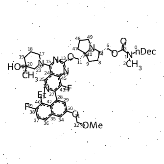 CCCCCCCCCCN(C)C(=O)OC[C@@H]1CC[C@@]2(COc3nc(N4CCC[C@@](C)(O)C4)c4cnc(-c5cc(OCOC)cc6ccc(F)c(CC)c56)c(F)c4n3)CCCN12